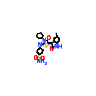 Cc1ccc2c(c1)/C(=C1/S/C(=N\c3ccc(S(N)(=O)=O)cc3)N(C3CCCCC3)C1=O)C(=O)N2